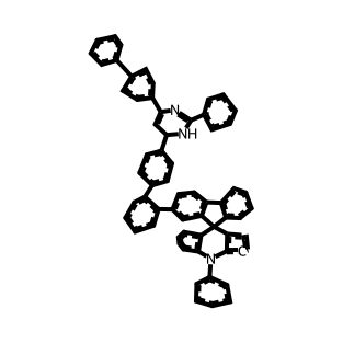 C1=C(c2ccc(-c3ccccc3)cc2)N=C(c2ccccc2)NC1c1ccc(-c2ccccc2-c2ccc3c(c2)C2(c4ccccc4-3)c3ccccc3N(c3ccccc3)c3ccccc32)cc1